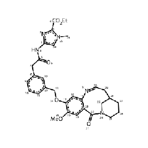 CCOC(=O)c1nc(NC(=O)Cc2cccc(COc3cc4c(cc3OC)C(=O)N3CCCC(C/C=N\4)C3)c2)cn1C